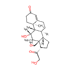 [2H]C1([2H])[C@@]2(C=O)[C@@H](C(=O)CO)CC[C@H]2[C@@H]2CCC3=CC(=O)CC[C@]3(C)[C@@]2([2H])[C@@]1([2H])O